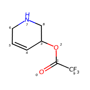 O=C(OC1C=CCNC1)C(F)(F)F